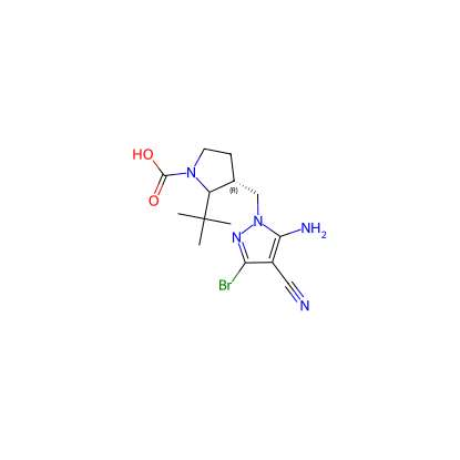 CC(C)(C)C1[C@@H](Cn2nc(Br)c(C#N)c2N)CCN1C(=O)O